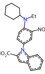 CCN(c1ccc(-n2c(C(=O)O)cc3ccccc32)cc1[N+](=O)[O-])C1CCCCC1